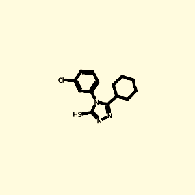 Sc1nnc(C2CCCCC2)n1-c1cccc(Cl)c1